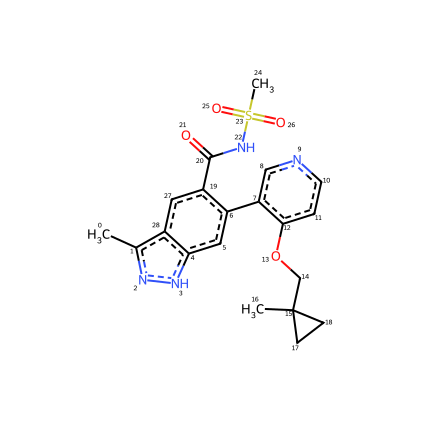 Cc1n[nH]c2cc(-c3cnccc3OCC3(C)CC3)c(C(=O)NS(C)(=O)=O)cc12